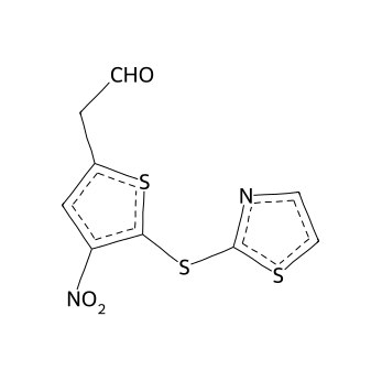 O=CCc1cc([N+](=O)[O-])c(Sc2nccs2)s1